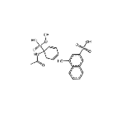 CC(=O)NC1([As](=O)(O)OO)C=CC=CC1.O=S(=O)(O)c1cc(O)c2ccccc2c1